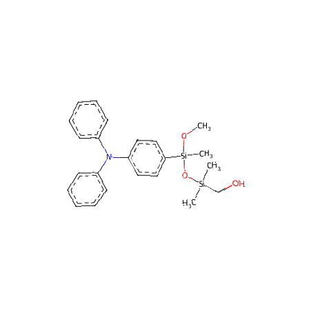 CO[Si](C)(O[Si](C)(C)CO)c1ccc(N(c2ccccc2)c2ccccc2)cc1